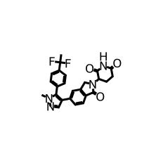 Cn1ncc(-c2ccc3c(c2)CN(C2CCC(=O)NC2=O)C3=O)c1-c1ccc(C(C)(F)F)cc1